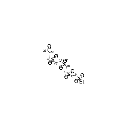 CCS(=O)(=O)CCS(=O)(=O)CCS(=O)(=O)CCS(=O)(=O)CCC[O]